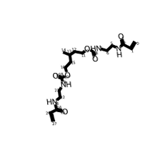 C=CC(=O)NCCNC(=O)OCCC(C)CCOC(=O)NCCNC(=O)C=C